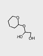 OCC(O)OC1CCCCO1